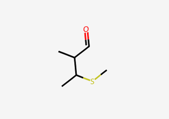 CSC(C)C(C)C=O